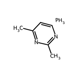 Cc1ccnc(C)n1.P